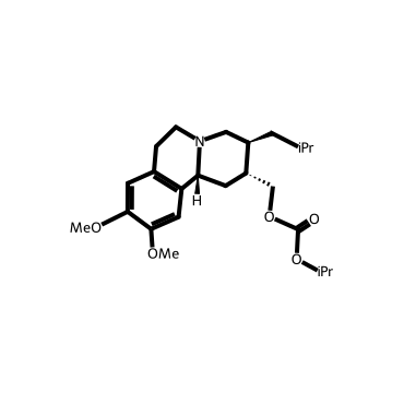 COc1cc2c(cc1OC)[C@H]1C[C@@H](COC(=O)OC(C)C)[C@H](CC(C)C)CN1CC2